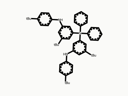 CC(C)(C)c1ccc(Nc2cc(C(C)(C)C)cc([Si](c3ccccc3)(c3ccccc3)c3cc(Nc4ccc(C(C)(C)C)cc4)cc(C(C)(C)C)c3)c2)cc1